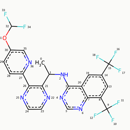 CC(Nc1ncnc2c(C(F)(F)F)cc(C(F)(F)F)cc12)c1nccnc1-c1ccc(OC(F)F)cn1